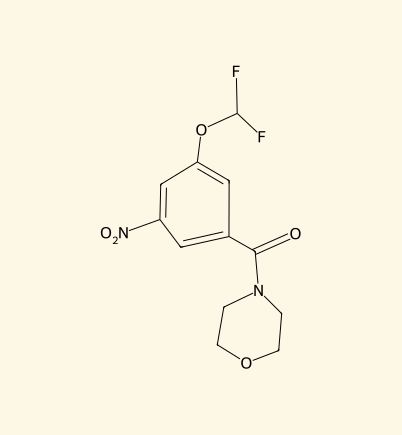 O=C(c1cc(OC(F)F)cc([N+](=O)[O-])c1)N1CCOCC1